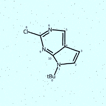 CC(C)(C)n1ccc2cnc(Cl)nc21